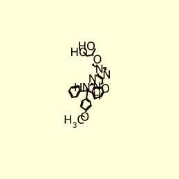 COc1ccc(C(Nc2nc3c(ncn3COC(CO)CO)c(=O)[nH]2)(c2ccccc2)c2ccccc2)cc1